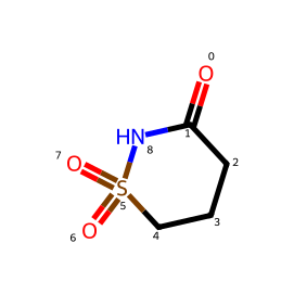 O=C1CCCS(=O)(=O)N1